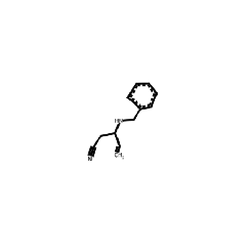 C=CC(CC#N)NCc1ccccc1